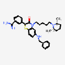 C[C@@H]1CCC[C@H](C)N1CCCCCN1C(=O)C(c2cccc(C(=N)N)c2)Sc2ccc(NCc3ccccc3)cc21